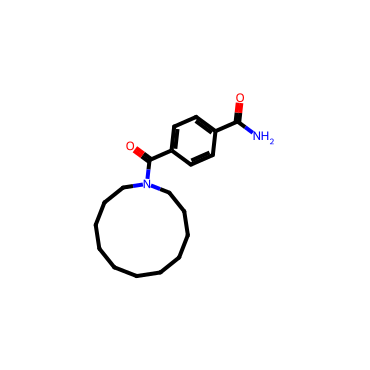 NC(=O)c1ccc(C(=O)N2CCCCCCCCCCC2)cc1